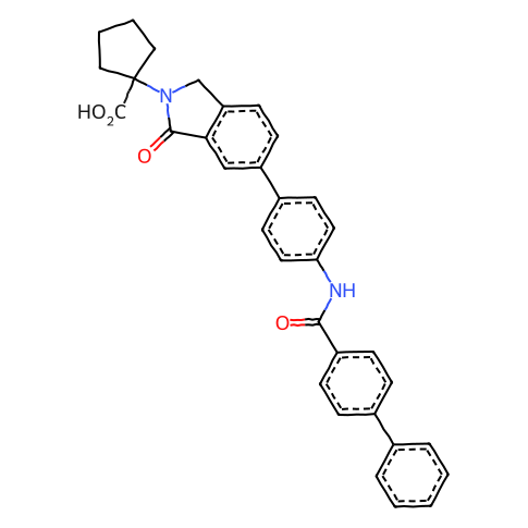 O=C(Nc1ccc(-c2ccc3c(c2)C(=O)N(C2(C(=O)O)CCCC2)C3)cc1)c1ccc(-c2ccccc2)cc1